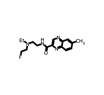 CCN(CCF)CCNC(=O)c1cnc2cc(C)ccc2n1